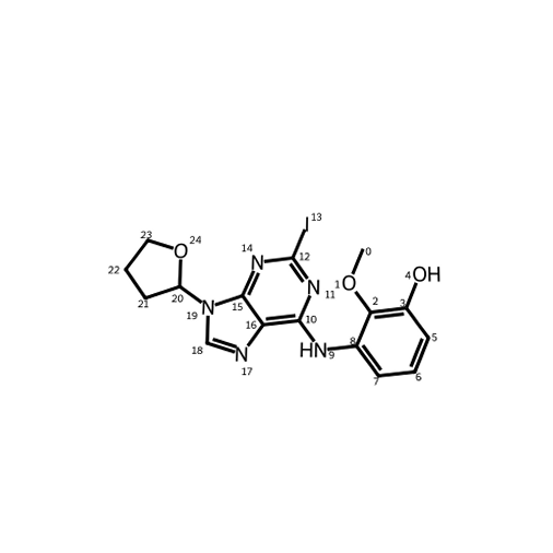 COc1c(O)cccc1Nc1nc(I)nc2c1ncn2C1CCCO1